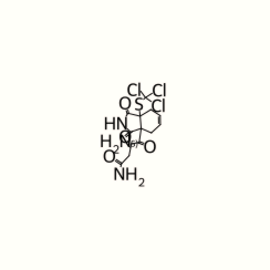 NC(=O)C[C@H](N)C(=O)C12CC=CCC1(SC(Cl)(Cl)Cl)C(=O)NC2=O